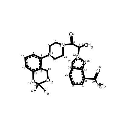 CC(C(=O)N1CCN(c2cccc3c2COC(F)(F)O3)CC1)n1cc2cccc(C(N)=O)c2n1